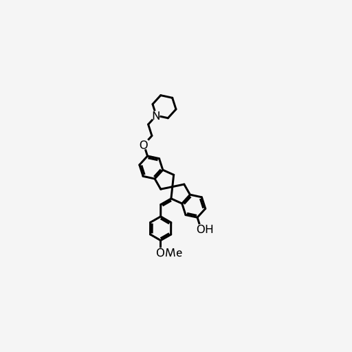 COc1ccc(C=C2c3cc(O)ccc3CC23Cc2ccc(OCCN4CCCCC4)cc2C3)cc1